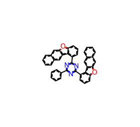 c1ccc(-c2nc(-c3cccc4oc5cc6ccccc6cc5c34)nc(-c3cccc4oc5cc6ccccc6cc5c34)n2)cc1